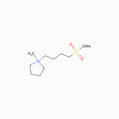 COS(=O)(=O)CCCC[N+]1(C)CCCC1